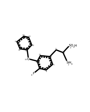 O=S(=O)(O)C([SiH3])Cc1ccc(F)c(Oc2ccccc2)c1